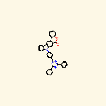 O=c1oc2ccccc2c2cc3c4ccccc4n(-c4ccc(-c5nc(-c6ccccc6)nc(-c6ccccc6)n5)cc4)c3cc12